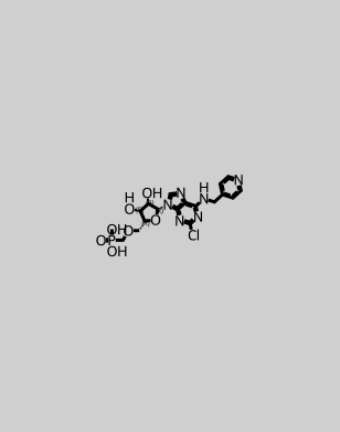 O=P(O)(O)COC[C@H]1O[C@@H](n2cnc3c(NCc4ccncc4)nc(Cl)nc32)[C@H](O)[C@@H]1O